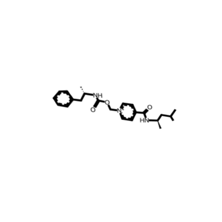 CC(C)C[C@@H](C)NC(=O)c1cc[n+](COC(=O)N[C@@H](C)Cc2ccccc2)cc1